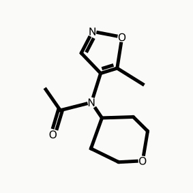 CC(=O)N(c1cnoc1C)C1CCOCC1